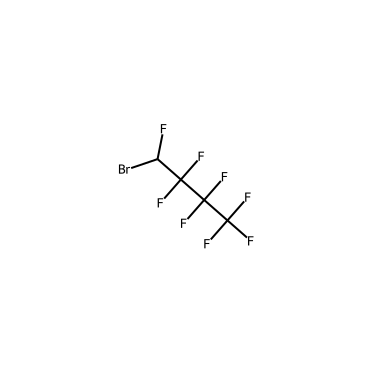 FC(Br)C(F)(F)C(F)(F)C(F)(F)F